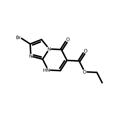 CCOC(=O)c1c[nH]c2nc(Br)cn2c1=O